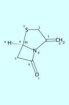 C=C1CS[C@@H]2CC(=O)N12